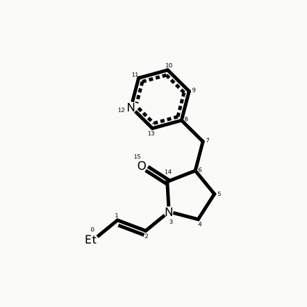 CCC=CN1CCC(Cc2cccnc2)C1=O